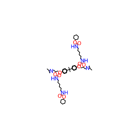 CC1CN1CC(COc1ccc(C(C)(C)c2ccc(OCC(CN3CC3C)OC(=O)NCCCCCCNC(=O)OC3CCCCC3)cc2)cc1)OC(=O)NCCCCCCNC(=O)OC1CCCCC1